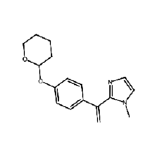 C=C(c1ccc(OC2CCCCO2)cc1)c1nccn1C